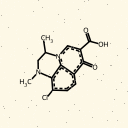 CC1CN(C)c2c(Cl)ccc3c(=O)c(C(=O)O)cn1c23